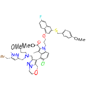 COCCN(Cc1cc(CBr)n(C)n1)Cc1nn2c(c1-c1c(Cl)ccc3c1c(C)c(C(=O)OC)n3CCCOc1cc(SCc3ccc(OC)cc3)cc3cc(F)ccc13)COCC2